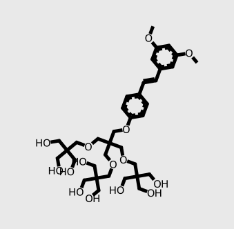 COc1cc(/C=C/c2ccc(OCC(COCC(CO)(CO)CO)(COCC(CO)(CO)CO)COCC(CO)(CO)CO)cc2)cc(OC)c1